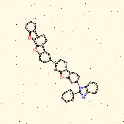 c1ccc(-c2nc3ccccc3n2-c2ccc3c(c2)oc2cc(-c4ccc5oc6c(ccc7c8ccccc8oc76)c5c4)ccc23)cc1